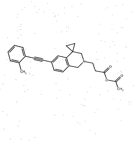 CC(=O)OC(=O)CCN1Cc2ccc(C#Cc3ccccc3C)cc2C2(CC2)C1